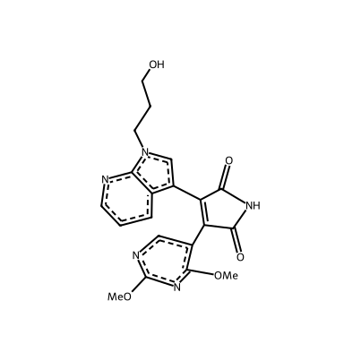 COc1ncc(C2=C(c3cn(CCCO)c4ncccc34)C(=O)NC2=O)c(OC)n1